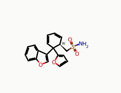 NS(=O)(=O)C[C@@H]1C=CC=CC1(c1ccco1)c1coc2ccccc12